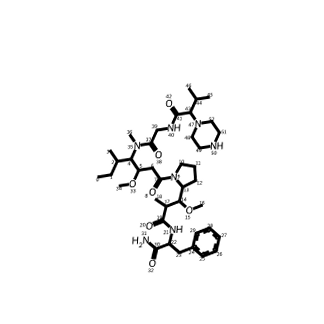 CCC(C)C(C(CC(=O)N1CCCC1C(OC)C(C)C(=O)NC(Cc1ccccc1)C(N)=O)OC)N(C)C(=O)CNC(=O)C(C(C)C)N1CCNCC1